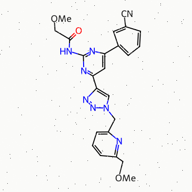 COCC(=O)Nc1nc(-c2cccc(C#N)c2)cc(-c2cn(Cc3cccc(COC)n3)nn2)n1